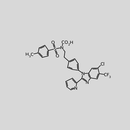 Cc1ccc(S(=O)(=O)N(CCc2ccc(-n3c(-c4ccccn4)nc4cc(C(F)(F)F)c(Cl)cc43)cc2)C(=O)O)cc1